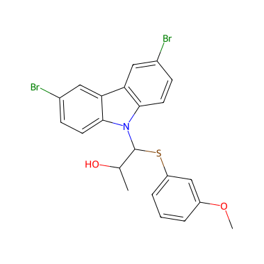 COc1cccc(SC(C(C)O)n2c3ccc(Br)cc3c3cc(Br)ccc32)c1